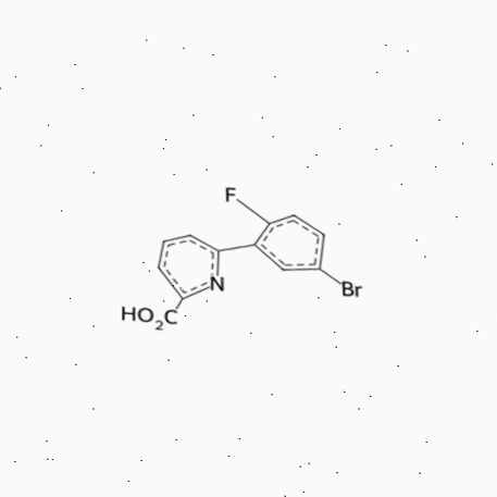 O=C(O)c1cccc(-c2cc(Br)ccc2F)n1